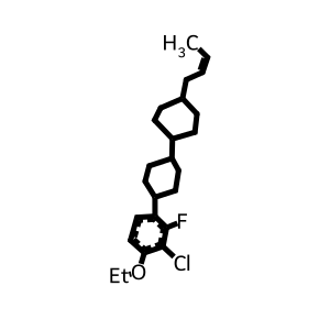 C/C=C\CC1CCC(C2CCC(c3ccc(OCC)c(Cl)c3F)CC2)CC1